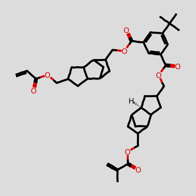 C=CC(=O)OCC1CC2C3CC(COC(=O)c4cc(C(=O)OCC5CC6C7CC(CC7COC(=O)C(=C)C)[C@H]6C5)cc(C(C)(C)C)c4)C(C3)C2C1